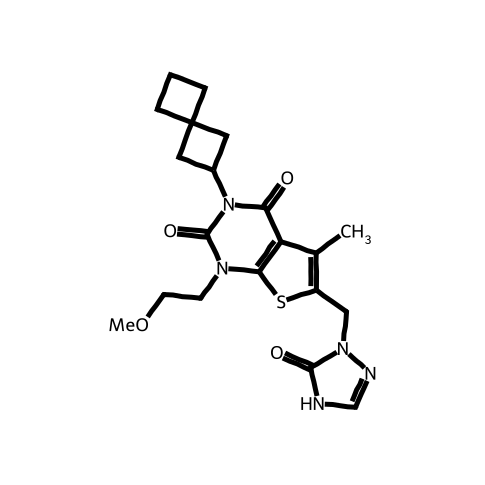 COCCn1c(=O)n(C2CC3(CCC3)C2)c(=O)c2c(C)c(Cn3nc[nH]c3=O)sc21